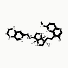 COc1ccc2ncc(F)c(CC[C@@]3(O)CO[C@@H]4[C@@H](NCc5cc6c(cn5)OCCO6)CO[C@@H]43)c2n1